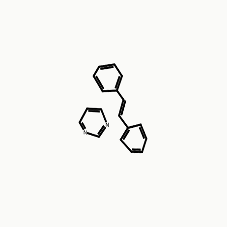 C(=Cc1ccccc1)c1ccccc1.c1cncnc1